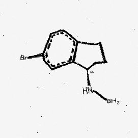 BN[C@@H]1CCc2ccc(Br)cc21